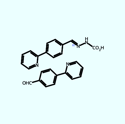 O=C(O)N/N=C/c1ccc(-c2ccccn2)cc1.O=Cc1ccc(-c2ccccn2)cc1